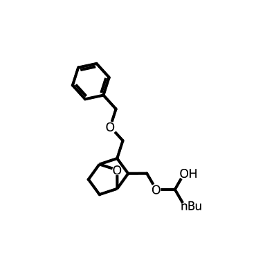 CCCCC(O)OCC1C2CCC(O2)C1COCc1ccccc1